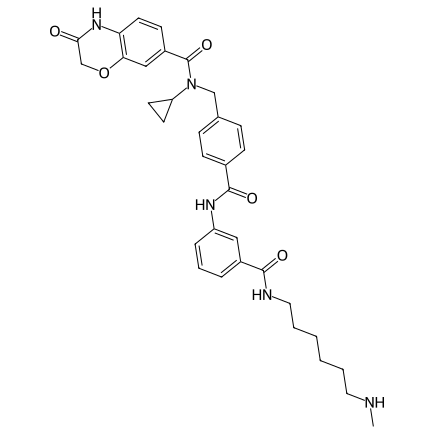 CNCCCCCCNC(=O)c1cccc(NC(=O)c2ccc(CN(C(=O)c3ccc4c(c3)OCC(=O)N4)C3CC3)cc2)c1